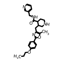 CCCOc1ccc(-c2nc(CC3CNCCC3C(=O)NCc3cccnc3)c(C)o2)cc1